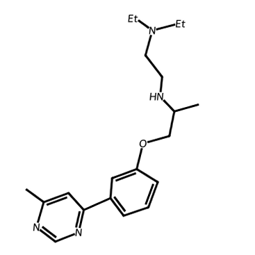 CCN(CC)CCNC(C)COc1cccc(-c2cc(C)ncn2)c1